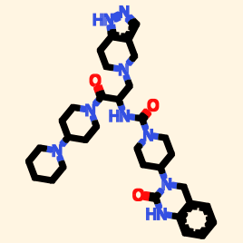 O=C(NC(CN1CCc2[nH]ncc2C1)C(=O)N1CCC(N2CCCCC2)CC1)N1CCC(N2Cc3ccccc3NC2=O)CC1